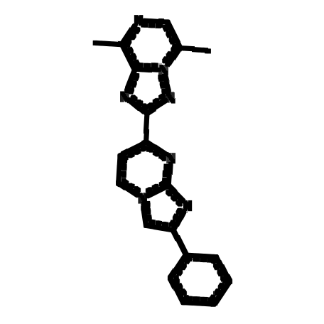 Cc1ncc(C)n2nc(-c3ccn4cc(-c5ccccc5)nc4n3)nc12